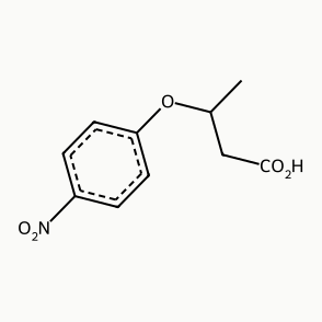 CC(CC(=O)O)Oc1ccc([N+](=O)[O-])cc1